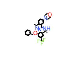 Cc1nnc(N[C@H](C)c2cc(OCc3ccccc3)cc(C(F)(F)F)c2)c2cc(N3CCOCC3)ccc12